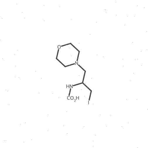 O=C(O)NC(CI)CN1CCOCC1